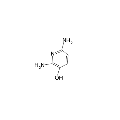 Nc1ccc(O)c(N)n1